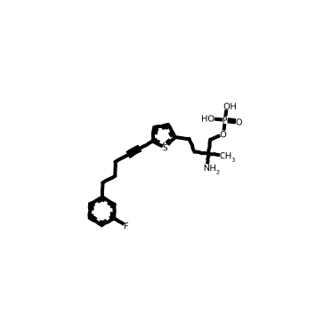 CC(N)(CCc1ccc(C#CCCCc2cccc(F)c2)s1)COP(=O)(O)O